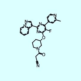 Cc1cc(-c2nc(-c3cnn4ccccc34)nc(O[C@@H]3CCCN(C(=O)CC#N)C3)c2F)ccn1